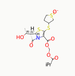 CC(C)C(=O)OCOC(=O)C1=C(SC2CC[S+]([O-])C2)S[C@@H]2[C@@H]([C@@H](C)O)C(=O)N12